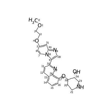 COCCOc1ccn2c(-c3ccc4cccc(OC5CCNC[C@H]5O)c4n3)cnc2c1